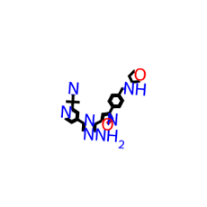 CC(C)(C#N)c1cc(-c2cnc(N)c(-c3cc(-c4ccc(CNC5CCOC5)cc4)no3)n2)ccn1